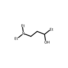 CCC(O)CCN(CC)CC